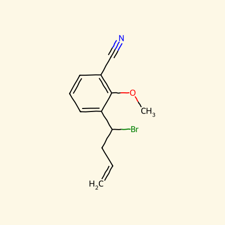 C=CCC(Br)c1cccc(C#N)c1OC